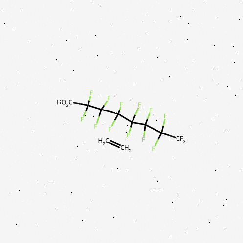 C=C.O=C(O)C(F)(F)C(F)(F)C(F)(F)C(F)(F)C(F)(F)C(F)(F)C(F)(F)F